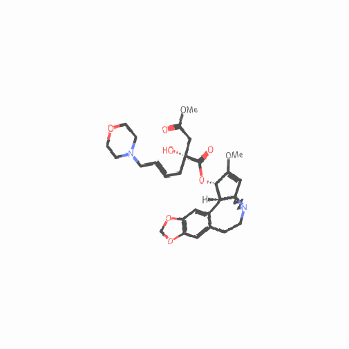 COC(=O)C[C@](O)(C/C=C/CN1CCOCC1)C(=O)O[C@@H]1C(OC)=C[C@]23CCCN2CCc2cc4c(cc2[C@H]13)OCO4